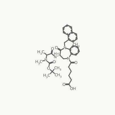 Cc1ccc2ccccc2c1CN1C(=O)[C@@H](NC(=O)C(C)N(C)C(=O)OC(C)(C)C)CN(C(=O)CCCCC(=O)O)c2ccccc21